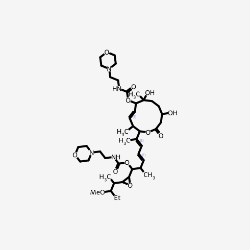 CCC(OC)C(C)C1OC1C(OC(=O)NCCN1CCOCC1)C(C)/C=C/C=C(\C)C1OC(=O)CC(O)CCC(C)(O)C(OC(=O)NCCN2CCOCC2)/C=C/C1C